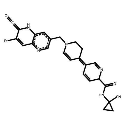 CCC1=Cc2ncc(CN3C=CC(=C4C=CC(C(=O)NC5(C#N)CC5)N=C4)CC3)cc2NC1=C=O